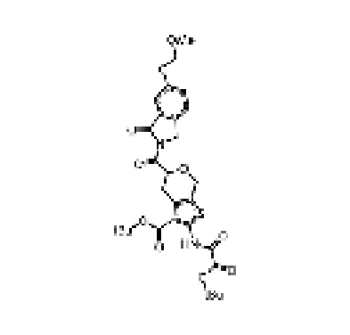 COCOc1ccc2c(c1)C(=O)N(C(=O)C1Cc3c(sc(NC(=O)C(=O)OC(C)(C)C)c3C(=O)OC(C)(C)C)CO1)C2